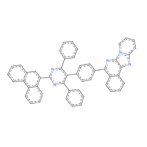 c1ccc(-c2nc(-c3cc4ccccc4c4ccccc34)nc(-c3ccccc3)c2-c2ccc(-c3nc4c(nc5ccccn54)c4ccccc34)cc2)cc1